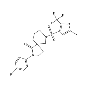 Cc1cc(S(=O)(=O)N2CCCC3(CCN(c4ccc(F)cc4)C3=O)C2)c(C(F)(F)F)o1